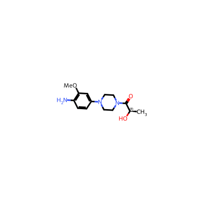 COc1cc(N2CCN(C(=O)[C@@H](C)O)CC2)ccc1N